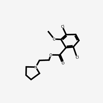 COc1c(Cl)ccc(Cl)c1C(=O)OCCN1CCCC1